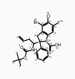 C=CCC(NC(=O)OC(C)(C)C)[C@@]1(c2ccccc2)Cc2c(cc(F)c(Cl)c2Br)N1C(=O)O